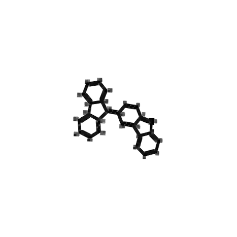 c1ccc2c(c1)N=c1ccc(=C3c4ccccc4-c4ccccc43)cc1-2